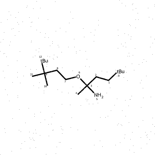 CC(C)(C)CCC(C)(N)OCCC(C)(C)C(C)(C)C